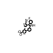 COC(=O)c1cc(C)c(-c2cccc(-c3[nH]c4ccc(F)cc4c3-c3ccsc3C#N)c2)cn1